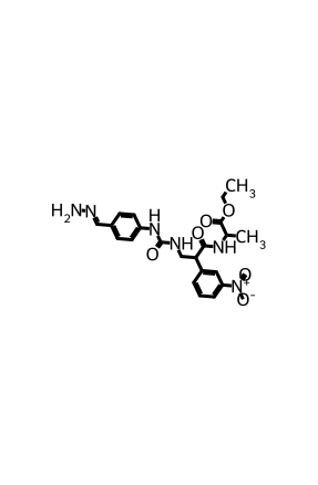 CCOC(=O)C(C)NC(=O)C(CNC(=O)Nc1ccc(C=NN)cc1)c1cccc([N+](=O)[O-])c1